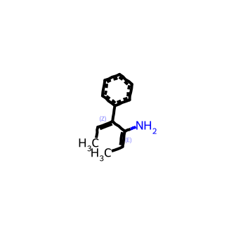 C/C=C(\C(N)=C/C)c1ccccc1